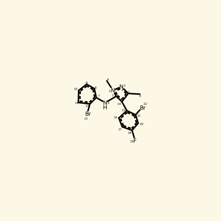 Cc1nn(C)c(Nc2ccccc2Br)c1-c1ccc(F)cc1Br